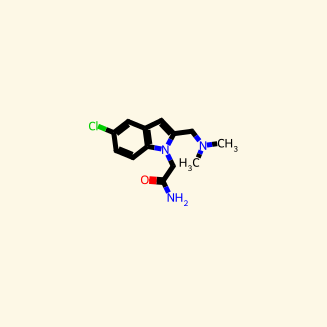 CN(C)Cc1cc2cc(Cl)ccc2n1CC(N)=O